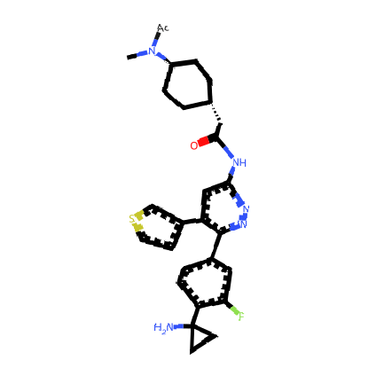 CC(=O)N(C)[C@H]1CC[C@H](CC(=O)Nc2cc(-c3ccsc3)c(-c3ccc(C4(N)CC4)c(F)c3)nn2)CC1